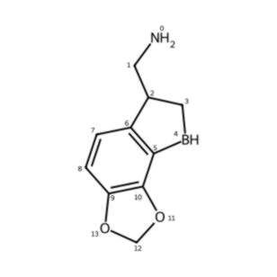 NCC1CBc2c1ccc1c2OCO1